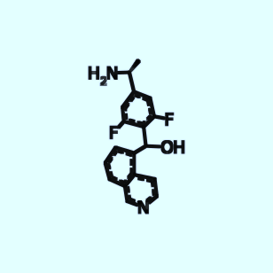 C[C@H](N)c1cc(F)c(C(O)c2cccc3cnccc23)c(F)c1